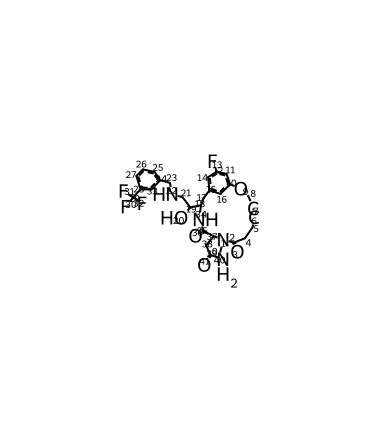 CN1C(=O)CCCCCOc2cc(F)cc(c2)CC(C(O)CNCc2cccc(C(F)(F)F)c2)NC(=O)C1CC(N)=O